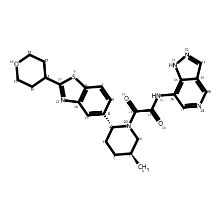 C[C@H]1CC[C@H](c2ccc3sc(C4CCOCC4)nc3c2)N(C(=O)C(=O)Nc2cncc3cn[nH]c23)C1